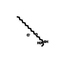 CCCCCCCCCCCCCOCCCC[N+](O)(O)CC.[Cl-]